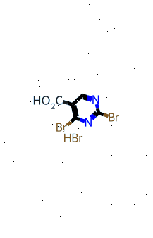 Br.O=C(O)c1cnc(Br)nc1Br